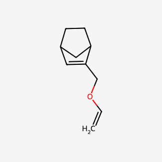 C=COCC1=CC2CCC1C2